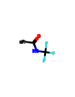 CCCC(=O)NC(F)(F)F